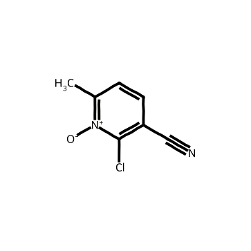 Cc1ccc(C#N)c(Cl)[n+]1[O-]